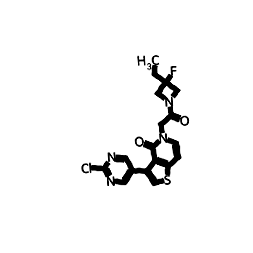 CCC1(F)CN(C(=O)Cn2ccc3scc(-c4cnc(Cl)nc4)c3c2=O)C1